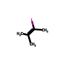 CC(C)=C(C)I